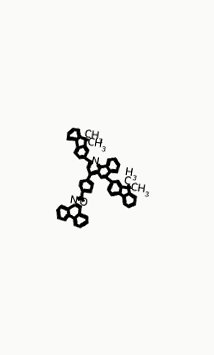 CC1(C)c2ccccc2-c2ccc(-c3cc(-c4ccc(-c5nc6c7ccccc7c7ccccc7c6o5)cc4)c4cc(-c5ccc6c(c5)C(C)(C)c5ccccc5-6)c5ccccc5c4n3)cc21